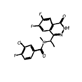 CC(c1n[nH]c(=O)c2cc(F)c(F)cc12)N(C)C(=O)c1ccc(F)c(Cl)c1